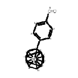 O=Cc1ccc([C]23[CH]4[CH]5[CH]6[CH]2[Fe]56432789[CH]3[CH]2[CH]7[CH]8[CH]39)cc1